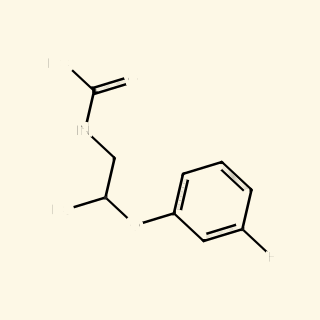 CC(CNC(=O)O)Oc1cccc(F)c1